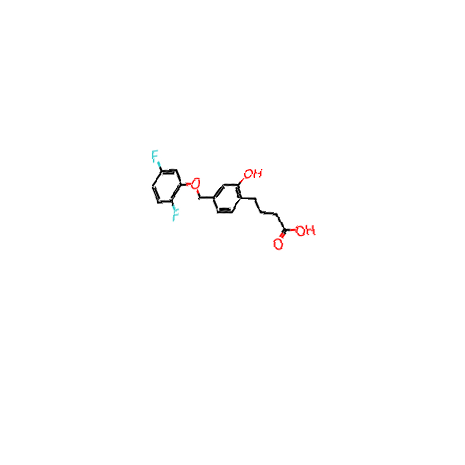 O=C(O)CCCc1ccc(COc2cc(F)ccc2F)cc1O